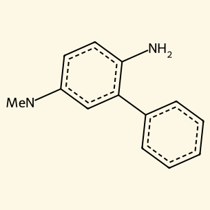 CNc1ccc(N)c(-c2ccccc2)c1